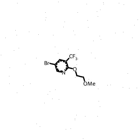 COCCOc1ncc(Br)cc1C(F)(F)F